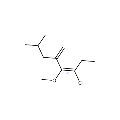 C=C(CC(C)C)/C(OC)=C(/Cl)CC